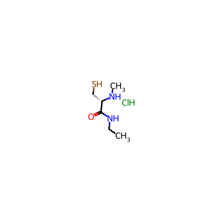 CCNC(=O)[C@H](CS)NC.Cl